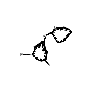 Fc1cc(F)cc(Nc2ccccn2)c1